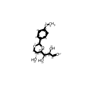 COc1ccc(C2OC[C@@H](O)[C@H]([C@H](O)[C@@H](O)C=O)O2)cc1